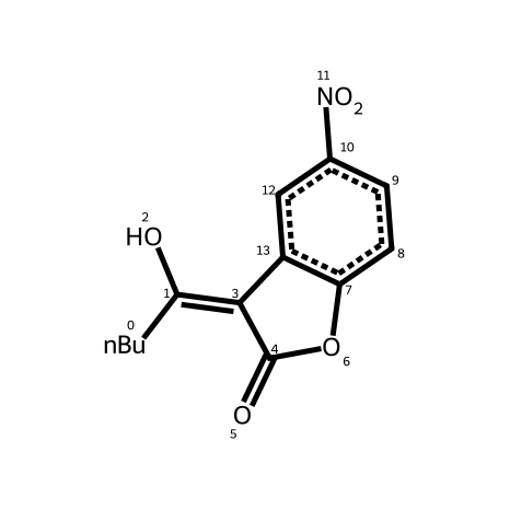 CCCC/C(O)=C1\C(=O)Oc2ccc([N+](=O)[O-])cc21